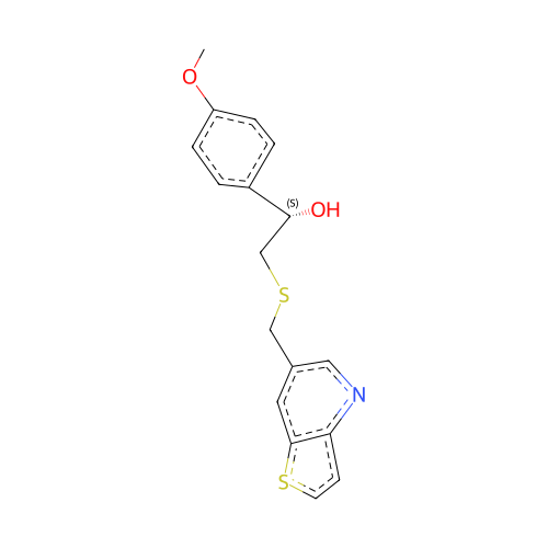 COc1ccc([C@H](O)CSCc2cnc3ccsc3c2)cc1